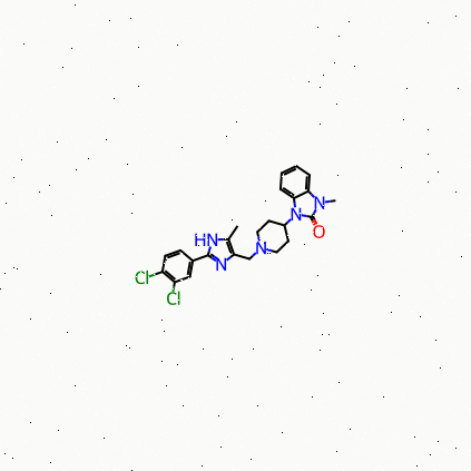 Cc1[nH]c(-c2ccc(Cl)c(Cl)c2)nc1CN1CCC(n2c(=O)n(C)c3ccccc32)CC1